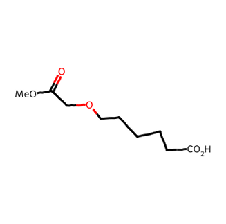 COC(=O)COCCCCCC(=O)O